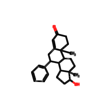 CC12CCC(=O)C=C1CC(c1ccccc1)C1C2CCC2(C)C(O)CCC12